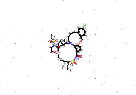 C[C@@H]1[C@@H](C)CCC[C@]2(CN(S(C)(=O)=O)CCO2)[C@@H]2CC[C@H]2CN2CCCCc3cc(Cl)ccc3COc3ccc(cc32)C(=O)NS1(=O)=O